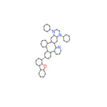 c1ccc(-n2ccn(-c3ccccc3)c3cc4c(cc32)c2ccccc2c2cc(-c3cccc5c3oc3ccccc35)ccc2c2cccnc24)cc1